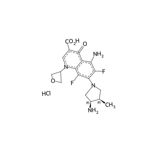 C[C@@H]1CN(c2c(F)c(N)c3c(=O)c(C(=O)O)cn(C4COC4)c3c2F)C[C@@H]1N.Cl